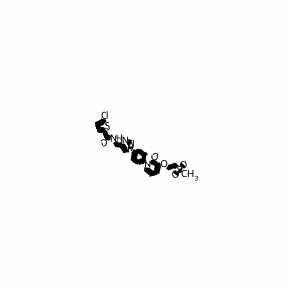 CS(=O)(=O)CCOc1cccn(-c2ccc(-n3cc(CNC(=O)c4ccc(Cl)s4)nn3)cc2)c1=O